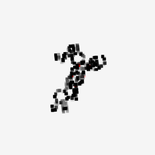 CC1(C)CCC(CN2C3CCC2CN(c2ccc4c(c2)CN(C2CCC(=O)NC2=O)C4)C3)=C(c2ccc(F)cc2)C1